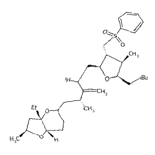 [3H]C(C[C@@H]1O[C@H](CC(C)CC)[C@H](C)[C@H]1CS(=O)(=O)c1ccccc1)C(=C)[C@H](C)CC1CC[C@@H]2O[C@@H](C)C[C@]2(CC)O1